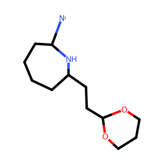 [N]C1CCCCC(CCC2OCCCO2)N1